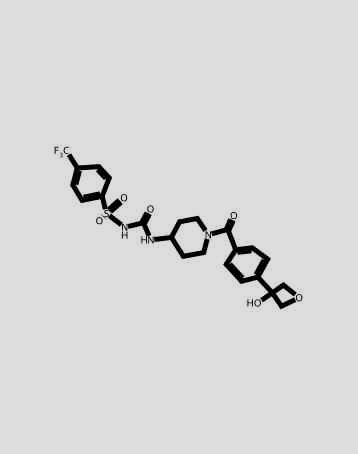 O=C(NC1CCN(C(=O)c2ccc(C3(O)COC3)cc2)CC1)NS(=O)(=O)c1ccc(C(F)(F)F)cc1